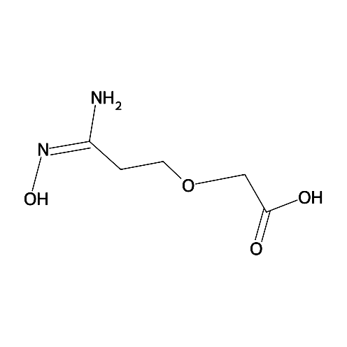 N/C(CCOCC(=O)O)=N/O